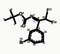 CC(C)(C)OC(=O)/N=C(\c1cccc(Br)c1)C(F)F